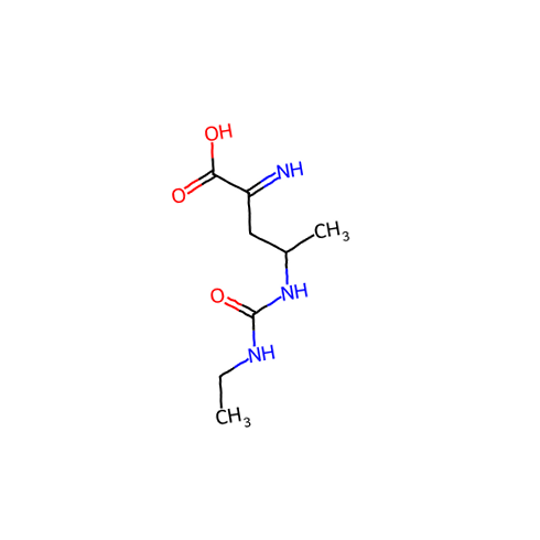 CCNC(=O)NC(C)CC(=N)C(=O)O